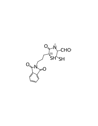 CN(C(=O)[C@@H](S)CCCN1C(=O)c2ccccc2C1=O)C([C]=O)CS